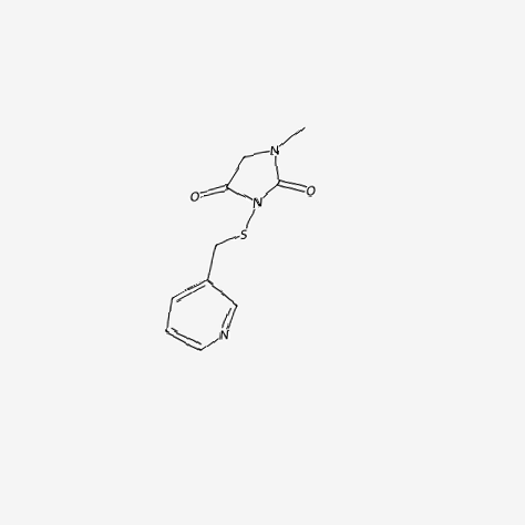 CN1CC(=O)N(SCc2cccnc2)C1=O